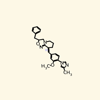 COc1cc(/C=C2\CCCN3CC(Cc4ccccc4)ON=C23)ccc1-n1cnc(C)c1